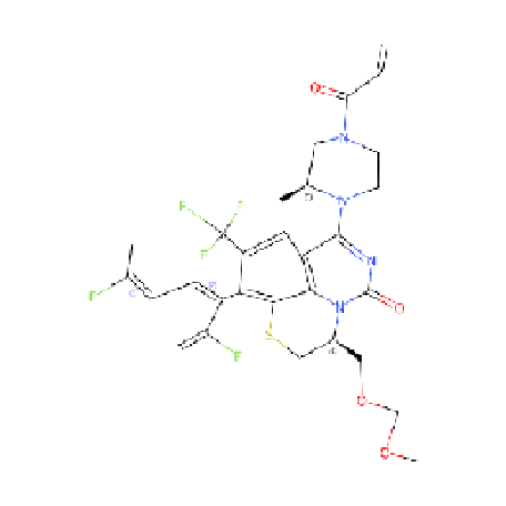 C=CC(=O)N1CCN(c2nc(=O)n3c4c(c(/C(=C/C=C(\C)F)C(=C)F)c(C(F)(F)F)cc24)SC[C@@H]3COCOC)[C@@H](C)C1